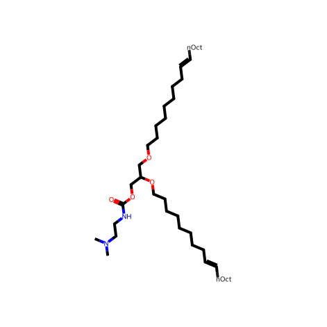 CCCCCCCCC=CCCCCCCCCOCC(COC(=O)NCCN(C)C)OCCCCCCCCC=CCCCCCCCC